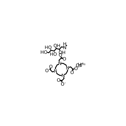 CNCC(O)C(O)[C@H](O)[C@H](O)CO.O=C([O-])CN1CCN(CC(=O)[O-])CCN(CC(=O)[O-])CCN(CC(=O)[O-])CC1.[Gd+3].[H+]